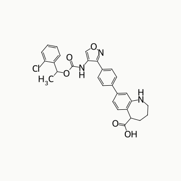 CC(OC(=O)Nc1conc1-c1ccc(-c2ccc3c(c2)NCCCC3C(=O)O)cc1)c1ccccc1Cl